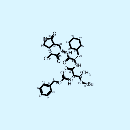 C[C@@H](OC(C)(C)C)[C@H](NC(=O)OCc1ccccc1)C(=O)N[C@@H](CC1CCCCC1)C(=O)NN(CC1CCNC1=O)C(=O)CCl